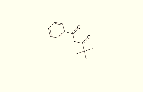 CC(C)(C)C(=O)CC(=O)c1ccccc1